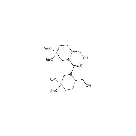 COC1(OC)CCC(CO)N(C(=O)N2CC(OC)(OC)CCC2CO)C1